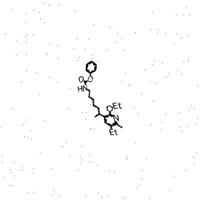 CCOc1nc(C)c(CC)cc1C(C)CCCCCNC(=O)Oc1ccccc1